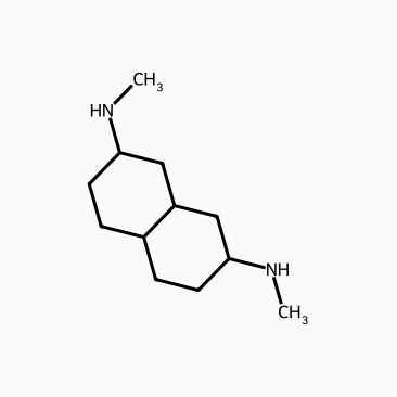 CNC1CCC2CCC(NC)CC2C1